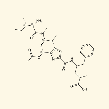 CC[C@H](C)[C@H](N)C(=O)N(C)[C@H](C[C@@H](OC(C)=O)c1nc(C(=O)NC(Cc2ccccc2)CC(C)C(=O)O)cs1)C(C)C